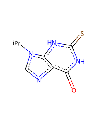 CC(C)n1cnc2c(=O)[nH]c(=S)[nH]c21